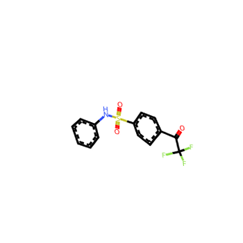 O=C(c1ccc(S(=O)(=O)Nc2ccccc2)cc1)C(F)(F)F